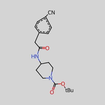 CC(C)(C)OC(=O)N1CCC(NC(=O)Cc2ccc(C#N)cc2)CC1